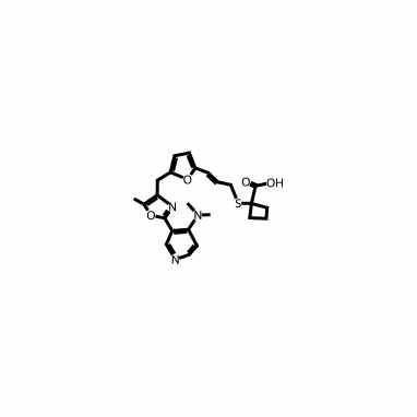 Cc1oc(-c2cnccc2N(C)C)nc1Cc1ccc(C=CCSC2(C(=O)O)CCC2)o1